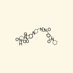 O=C1CCC(N2C(=O)c3ccc(N4CCC(CN5CCN(C(=O)c6ccc7c(c6)CN(C6CCCCC6)C7=O)CC5)CC4)cc3C2=O)C(=O)N1